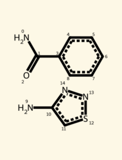 NC(=O)c1ccccc1.Nc1csnn1